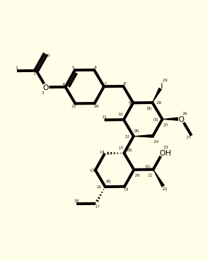 C=C(C)OC1=CCC(CC2C(C)[C@H]([C@H]3CC[C@@H](CC)CC3[C@H](C)O)C[C@H](OC)[C@@H]2I)CC1